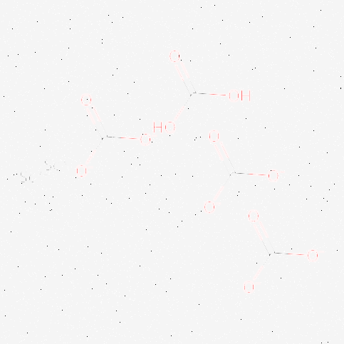 O=C(O)O.O=C([O-])[O-].O=C([O-])[O-].O=C([O-])[O-].[Sc+3].[Sc+3]